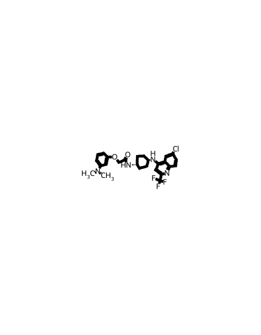 CN(C)c1cccc(OCC(=O)N[C@H]2CC[C@@H](Nc3cc(C(F)(F)F)nc4ccc(Cl)cc34)CC2)c1